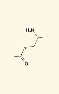 CC(=O)SCC(C)N